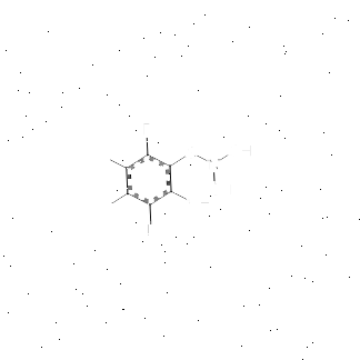 Cc1c(F)c(F)c(F)c(F)c1SN(C)C